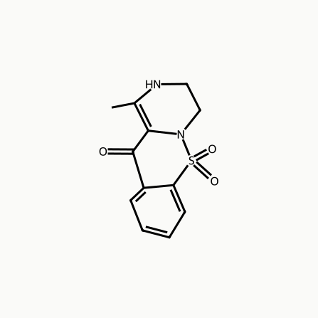 CC1=C2C(=O)c3ccccc3S(=O)(=O)N2CCN1